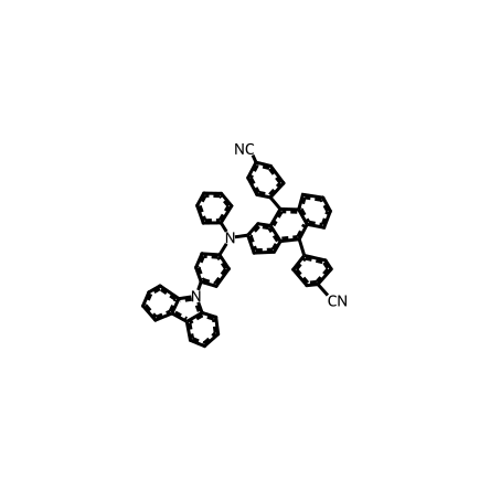 N#Cc1ccc(-c2c3ccccc3c(-c3ccc(C#N)cc3)c3cc(N(c4ccccc4)c4ccc(-n5c6ccccc6c6ccccc65)cc4)ccc23)cc1